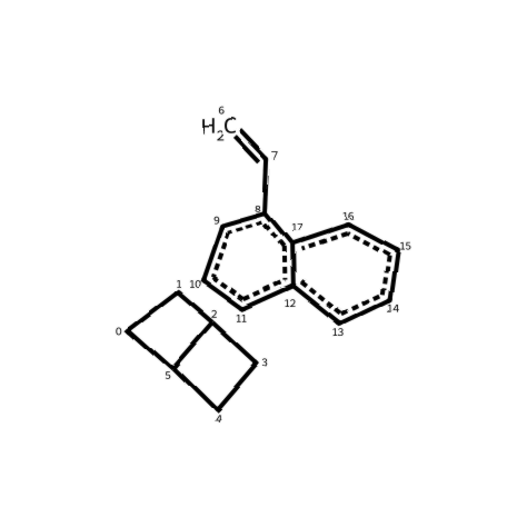 C1CC2CCC12.C=Cc1cccc2ccccc12